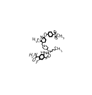 CCCCN(C(=O)Nc1cc(C(N)=O)c(F)cc1F)C1CCN(Cc2ccc(Oc3ccc(S(C)(=O)=O)cc3)nc2C)CC1